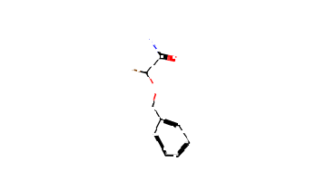 NC(=O)C(S)OCc1ccccc1